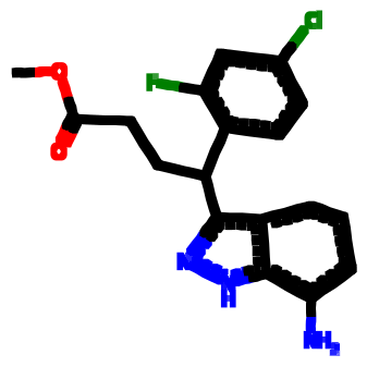 COC(=O)CCC(c1ccc(Cl)cc1F)c1n[nH]c2c(N)cccc12